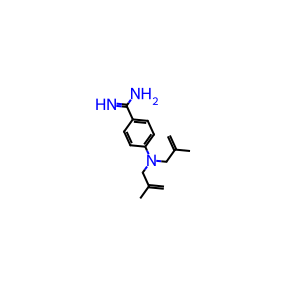 C=C(C)CN(CC(=C)C)c1ccc(C(=N)N)cc1